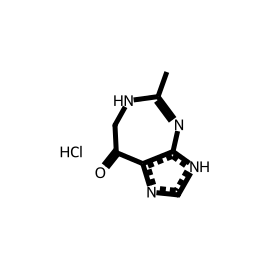 CC1=Nc2[nH]cnc2C(=O)CN1.Cl